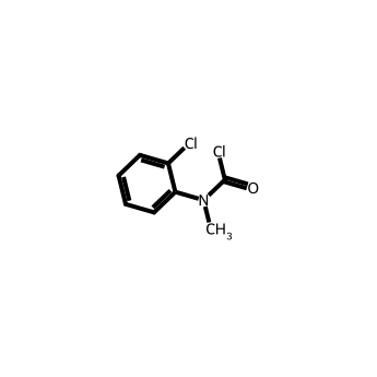 CN(C(=O)Cl)c1ccccc1Cl